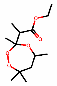 CCOC(=O)C(C)C1(C)OOC(C)(C)CC(C)O1